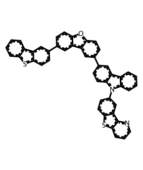 c1ccc2c(c1)sc1ccc(-c3ccc4oc5ccc(-c6ccc7c(c6)c6ccccc6n7-c6ccc7sc8cccnc8c7c6)cc5c4c3)cc12